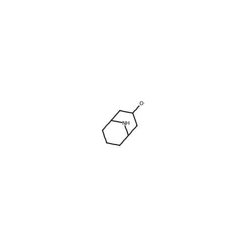 [O]C1CC2CCCC(C1)N2